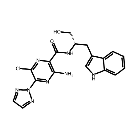 Nc1nc(-n2nccn2)c(Cl)nc1C(=O)N[C@H](CO)Cc1c[nH]c2ccccc12